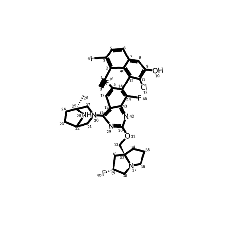 C#Cc1c(F)ccc2cc(O)c(Cl)c(-c3c(F)cc4c(N5CC6CC[C@@](C)(C5)N6)nc(OC[C@@]56CCCN5C[C@H](F)C6)nc4c3F)c12